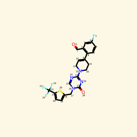 O=Cc1cc(F)ccc1C1=CCN(c2ncn(Cc3ccc(C(F)(F)F)s3)c(=O)n2)CC1